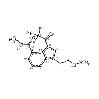 COCCn1cc(C(=O)C(F)(F)F)c2c(C(=O)OC)cccc21